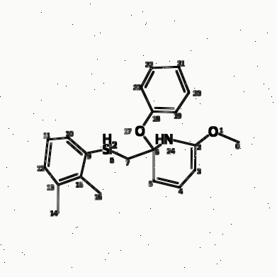 COC1=CC=CC(C[SiH2]c2cccc(C)c2C)(Oc2ccccc2)N1